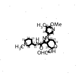 COc1ncc(-n2nc(C(=O)NCC3CCCN(C)C3)c3c2CCOCC3)cc1C.O=CO